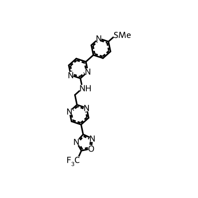 CSc1ccc(-c2ccnc(NCc3ncc(-c4noc(C(F)(F)F)n4)cn3)n2)cn1